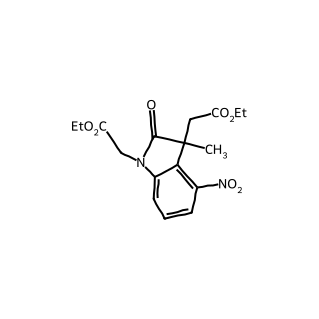 CCOC(=O)CN1C(=O)C(C)(CC(=O)OCC)c2c1cccc2[N+](=O)[O-]